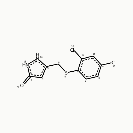 O=c1cc(CSc2ccc(Cl)cc2Cl)[nH][nH]1